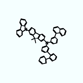 CC1(C)c2cc(N(c3cccc(-c4ccccc4-c4ccccc4)c3)c3cccc(-c4cccc5ccccc45)c3)ccc2-c2ccc(-n3c4ccccc4c4ccccc43)cc21